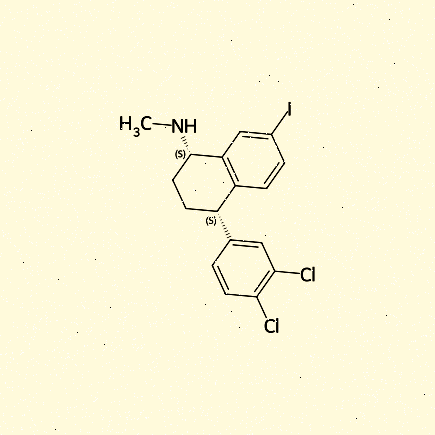 CN[C@H]1CC[C@@H](c2ccc(Cl)c(Cl)c2)c2ccc(I)cc21